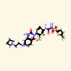 O=C(Nc1ccc(-n2c(=O)[nH]c3cc(NCCN4CCCC4)ccc3c2=O)c(Cl)c1)NS(=O)(=O)c1ccc(Cl)s1